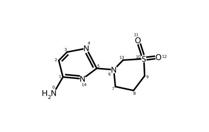 Nc1ccnc(N2CCCS(=O)(=O)C2)n1